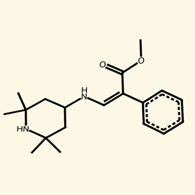 COC(=O)C(=CNC1CC(C)(C)NC(C)(C)C1)c1ccccc1